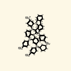 CC(C)(C)c1ccc(N2c3cc(N(c4ccc(C(C)(C)C)cc4)C4CCCCC4)ccc3B3c4c2cccc4N(c2ccc(C(C)(C)C)cc2)c2c3n(-c3ccc(C(C)(C)C)cc3)c3ccc4c5ccccc5sc4c23)cc1